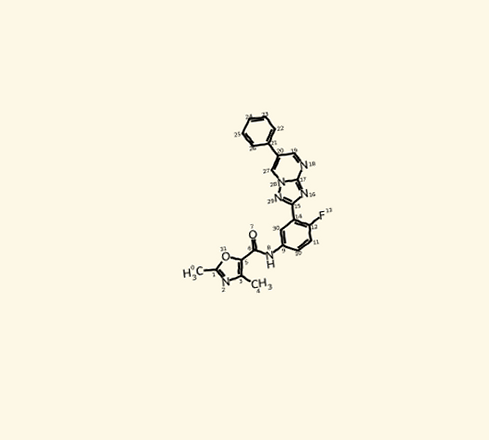 Cc1nc(C)c(C(=O)Nc2ccc(F)c(-c3nc4ncc(-c5ccccc5)cn4n3)c2)o1